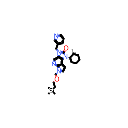 C[C@@H]1CCCC[C@@H]1n1c(=O)n(Cc2cccnc2)c2cnc3c(ccn3COCC[Si](C)(C)C)c21